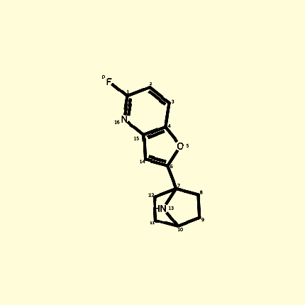 Fc1ccc2oc(C34CCC(CC3)N4)cc2n1